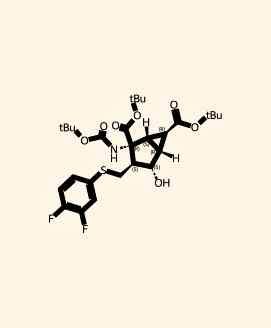 CC(C)(C)OC(=O)N[C@]1(C(=O)OC(C)(C)C)[C@@H]2[C@@H](C(=O)OC(C)(C)C)[C@@H]2[C@H](O)[C@H]1CSc1ccc(F)c(F)c1